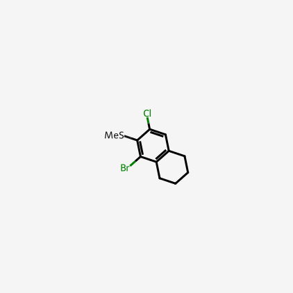 CSc1c(Cl)cc2c(c1Br)CCCC2